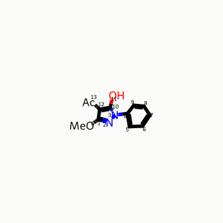 COc1nn(-c2ccccc2)c(O)c1C(C)=O